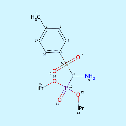 Cc1ccc(S(=O)(=O)C(N)P(=O)(OC(C)C)OC(C)C)cc1